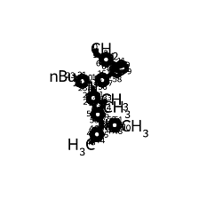 C=Cc1ccc(C23CC4CC(C2)CC(c2ccc(N(c5ccc(CCCC)cc5)c5ccc6c(c5)C(C)(C)c5cc(N(c7ccc(C)cc7)c7ccc(C)cc7)ccc5-6)cc2)(C4)C3)cc1